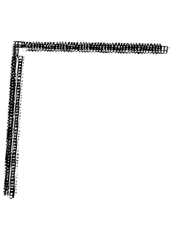 [Ag].[Ag].[Ag].[Ag].[Ag].[Ag].[Ag].[Ag].[Ag].[Ag].[Ag].[Ag].[Ag].[Ag].[Ag].[Ag].[Ag].[Ag].[Ag].[Ag].[Ag].[Ag].[Ag].[Ag].[Ag].[Ag].[Ag].[Ag].[Ag].[Ag].[Ag].[Ag].[Ag].[Ag].[Ag].[Ag].[Ag].[Ag].[Ag].[Ag].[Ag].[Ag].[Ag].[Ag].[Ag].[Ag].[Ag].[Ag].[Ag].[Ag].[Ag].[Ag].[Ag].[Ag].[Ag].[Ag].[Ag].[Ag].[Ag].[Ag].[Ag].[Ag].[Ag].[Ag].[Ag].[Ag].[Ag].[Ag].[Ag].[Ag].[Ag].[Ag].[Ag].[Ag].[Ag].[Ag].[Ag].[Ag].[Ag].[Ag].[Ag].[Ag].[Ag].[Ag].[Ag].[Ag].[Ag].[Ag].[Ag].[Ag].[Ag].[Ag].[Ag].[Ag].[Ti].[Ti].[Ti].[Ti].[Ti].[Ti]